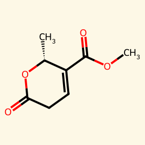 COC(=O)C1=CCC(=O)O[C@@H]1C